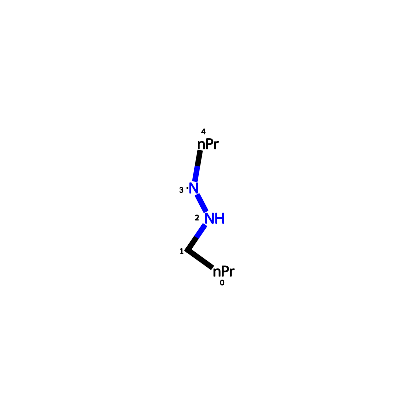 CCCCN[N]CCC